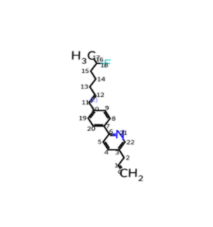 C=CCc1ccc(-c2ccc(/C=C/CCCC(C)F)cc2)nc1